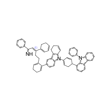 N=C(/C=C(\CCC1=CCCC=C1c1ccc2c(c1)c1c(n2C2=CCC(c3cccc4c5ccccc5n(-c5ccccc5)c34)C=C2)C=CCC1)C1=CC=CCC1)c1ccccc1